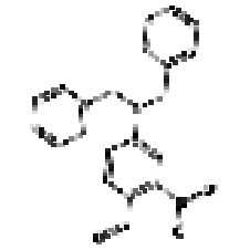 O=Cc1ccc(N(Cc2ccccc2)Cc2ccccc2)cc1[N+](=O)[O-]